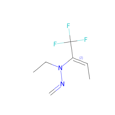 C=NN(CC)/C(=C\C)C(F)(F)F